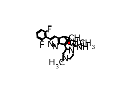 CNC(=O)N1CCN(C)CC1C12CCC(c3cc(-c4c(F)cccc4F)nnc31)C2(C)C